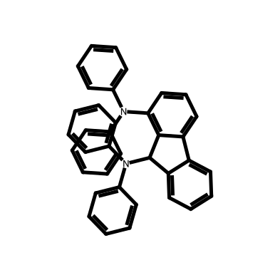 c1ccc(N(c2ccccc2)c2cccc3c2C(N(c2ccccc2)c2ccccc2)c2ccccc2-3)cc1